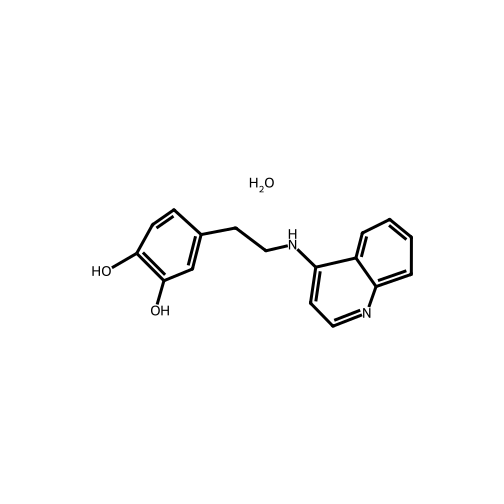 O.Oc1ccc(CCNc2ccnc3ccccc23)cc1O